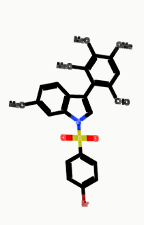 COc1ccc2c(-c3c(C=O)cc(OC)c(OC)c3OC)cn(S(=O)(=O)c3ccc(Br)cc3)c2c1